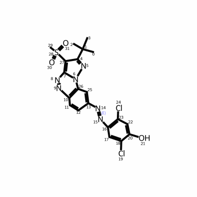 CC(C)(C)c1nn2c(nnc3ccc(/N=N/c4cc(Cl)c(O)cc4Cl)cc32)c1S(C)(=O)=O